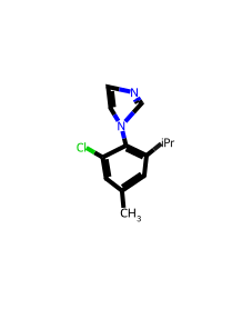 Cc1cc(Cl)c(-n2ccnc2)c(C(C)C)c1